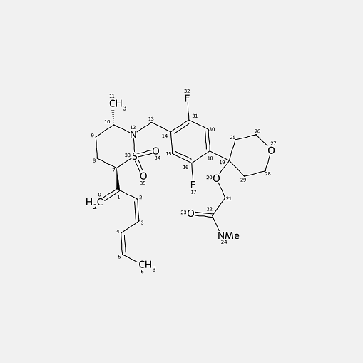 C=C(/C=C\C=C/C)[C@H]1CC[C@H](C)N(Cc2cc(F)c(C3(OCC(=O)NC)CCOCC3)cc2F)S1(=O)=O